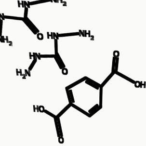 NNC(=O)NN.NNC(=O)NN.O=C(O)c1ccc(C(=O)O)cc1